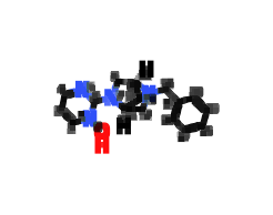 ON1C=CC=NC1N1C[C@@H]2C[C@H]1CN2Cc1ccccc1